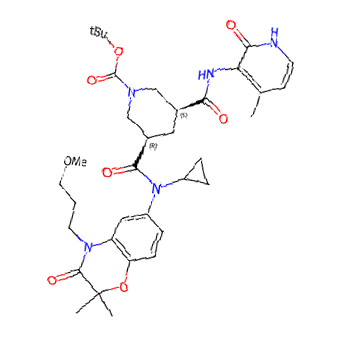 COCCCN1C(=O)C(C)(C)Oc2ccc(N(C(=O)[C@@H]3C[C@H](C(=O)Nc4c(C)cc[nH]c4=O)CN(C(=O)OC(C)(C)C)C3)C3CC3)cc21